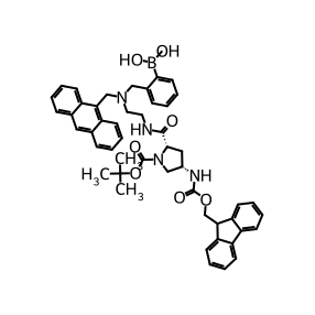 CC(C)(C)OC(=O)N1C[C@@H](NC(=O)OCC2c3ccccc3-c3ccccc32)C[C@H]1C(=O)NCCN(Cc1ccccc1B(O)O)Cc1c2ccccc2cc2ccccc12